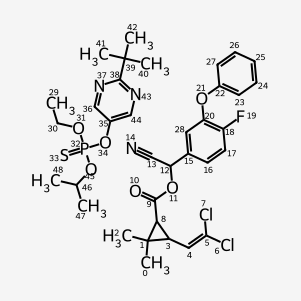 CC1(C)C(C=C(Cl)Cl)C1C(=O)OC(C#N)c1ccc(F)c(Oc2ccccc2)c1.CCOP(=S)(Oc1cnc(C(C)(C)C)nc1)OC(C)C